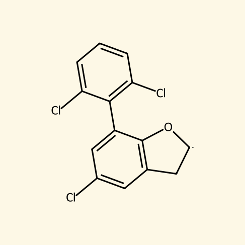 Clc1cc2c(c(-c3c(Cl)cccc3Cl)c1)O[CH]C2